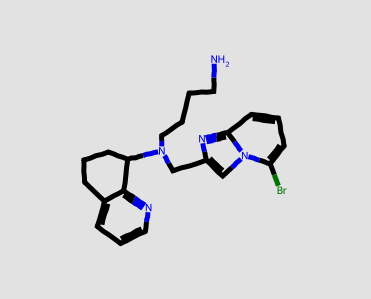 NCCCCN(Cc1cn2c(Br)cccc2n1)C1CCCc2cccnc21